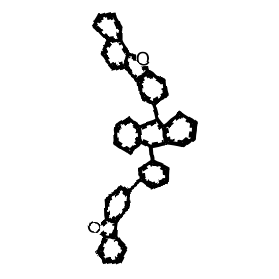 c1cc(-c2ccc3oc4ccccc4c3c2)cc(-c2c3ccccc3c(-c3ccc4oc5c6ccccc6ccc5c4c3)c3ccccc23)c1